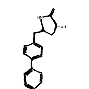 C=C1NC(Cc2ccc(-c3ccccc3)cc2)C[C@H]1C